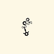 COC(=O)[C@@H]1CCCN1c1cccc(OC(=O)C#Cc2c(C)cccc2C)n1